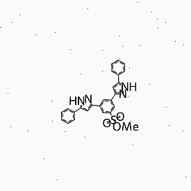 COS(=O)(=O)c1cc(-c2cc(-c3ccccc3)[nH]n2)cc(-c2cc(-c3ccccc3)[nH]n2)c1